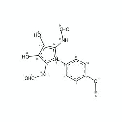 CCOc1ccc(-n2c(NC=O)c(O)c(O)c2NC=O)cc1